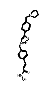 O=C(/C=C/c1ccc(Cn2cc(-c3ccc(CN4CCCC4)cc3)nn2)cc1)NO